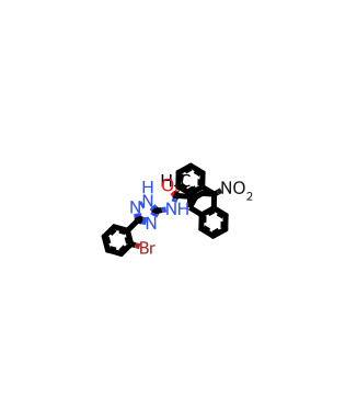 CC1(C(=O)Nc2nc(-c3ccccc3Br)n[nH]2)CC2([N+](=O)[O-])c3ccccc3C1c1ccccc12